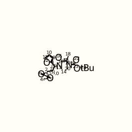 C[C@H](CS(C)(=O)=O)[C@@H](c1ccco1)N(C)C(=O)[C@@H](C)N(C)C(=O)OC(C)(C)C